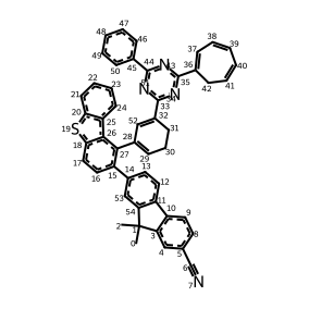 CC1(C)c2cc(C#N)ccc2-c2ccc(-c3ccc4sc5ccccc5c4c3C3=CCCC(c4nc(C5=CC=CC=CC5)nc(-c5ccccc5)n4)=C3)cc21